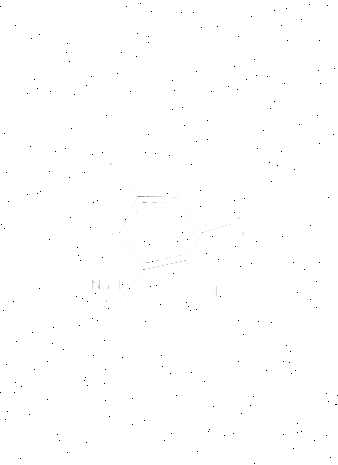 CC(=O)c1cc(C(C)=O)c(S)c(C(C)=O)c1.[NaH]